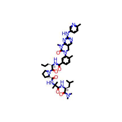 CCC[C@H](NC(=O)c1ccc(C)c(N2Cc3cnc(Nc4ccc(C)nc4)nc3N(C)C2=O)c1)C(=O)N1CCC[C@H]1C(=O)NC(C)(C)C(=O)N[C@@H](CC(C)C)C(=O)N(C)C